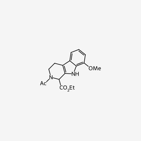 CCOC(=O)C1c2[nH]c3c(OC)cccc3c2CCN1C(C)=O